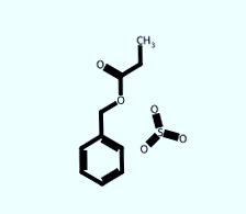 CCC(=O)OCc1ccccc1.O=S(=O)=O